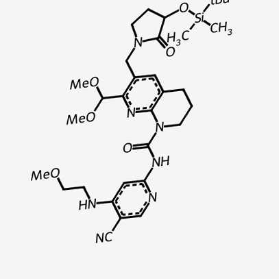 COCCNc1cc(NC(=O)N2CCCc3cc(CN4CCC(O[Si](C)(C)C(C)(C)C)C4=O)c(C(OC)OC)nc32)ncc1C#N